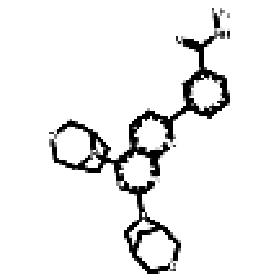 CNC(=O)c1cccc(-c2ccc3c(N4C5CCC4COC5)nc(N4CC5COCC4C5)nc3n2)c1